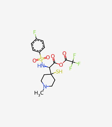 CN1CCC(S)([C@@H](NS(=O)(=O)c2ccc(F)cc2)C(=O)OC(=O)C(F)(F)F)CC1